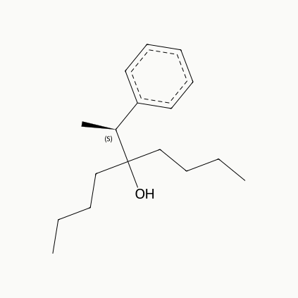 CCCCC(O)(CCCC)[C@@H](C)c1ccccc1